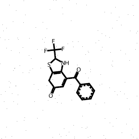 O=C1C=C(C(=O)c2ccccc2)C2=C(C1)SC(C(F)(F)F)N2